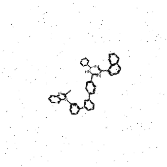 Cc1nc2ccccc2n1-c1cccc(-c2cccc(-c3ccc(C4=NC(c5cccc6ccccc56)=NC(c5ccccc5)N4)cc3)c2)c1